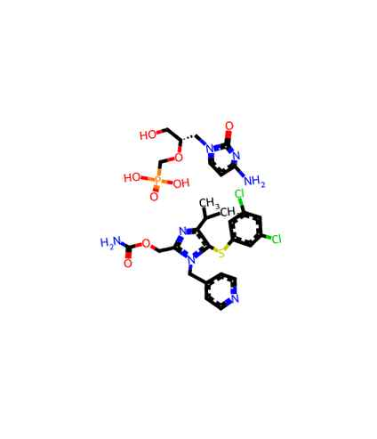 CC(C)c1nc(COC(N)=O)n(Cc2ccncc2)c1Sc1cc(Cl)cc(Cl)c1.Nc1ccn(C[C@@H](CO)OCP(=O)(O)O)c(=O)n1